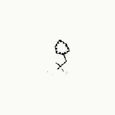 CCCC[C@@](CC)(Cc1ccccc1)C(=O)OCC